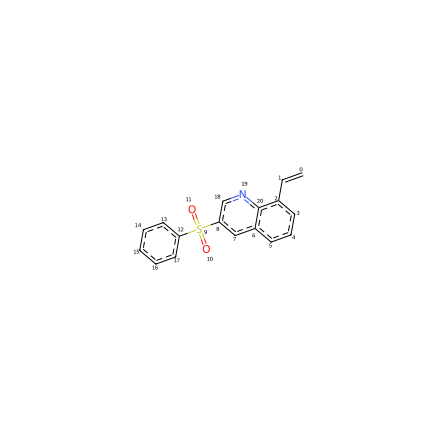 C=Cc1cccc2cc(S(=O)(=O)c3ccccc3)cnc12